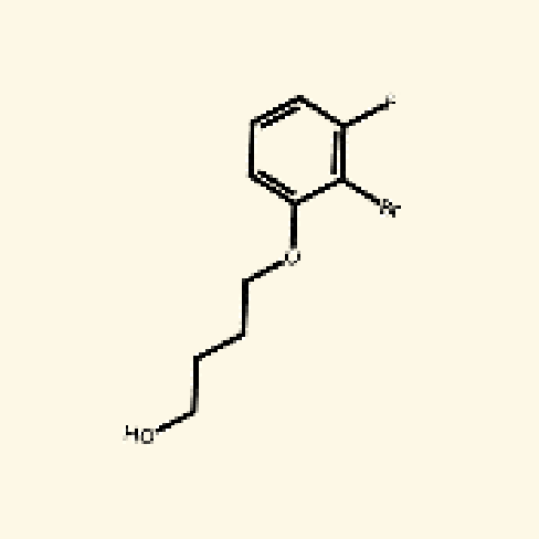 OCCCCOc1cccc(F)c1Br